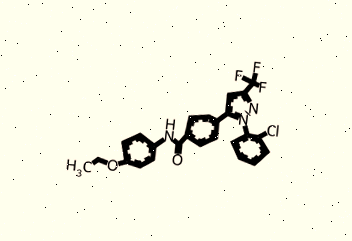 CCOc1ccc(NC(=O)c2ccc(-c3cc(C(F)(F)F)nn3-c3ccccc3Cl)cc2)cc1